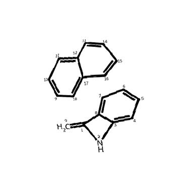 C=C1Nc2ccccc21.c1ccc2ccccc2c1